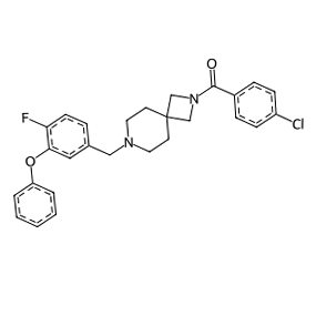 O=C(c1ccc(Cl)cc1)N1CC2(CCN(Cc3ccc(F)c(Oc4ccccc4)c3)CC2)C1